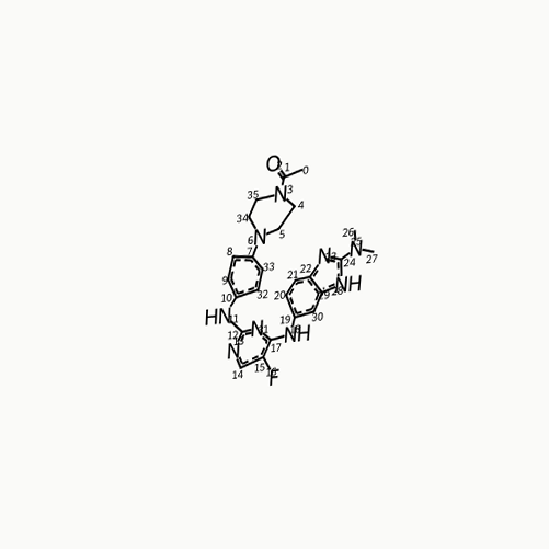 CC(=O)N1CCN(c2ccc(Nc3ncc(F)c(Nc4ccc5nc(N(C)C)[nH]c5c4)n3)cc2)CC1